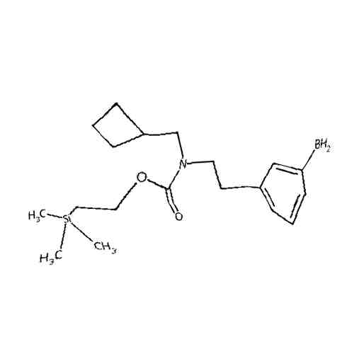 Bc1cccc(CCN(CC2CCC2)C(=O)OCC[Si](C)(C)C)c1